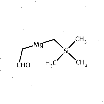 C[Si](C)(C)[CH2][Mg][CH2]C=O